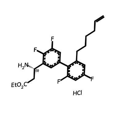 C=CCCCCc1cc(F)cc(F)c1-c1cc(F)c(F)c([C@@H](N)CC(=O)OCC)c1.Cl